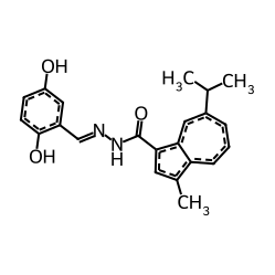 Cc1cc(C(=O)N/N=C/c2cc(O)ccc2O)c2cc(C(C)C)cccc1-2